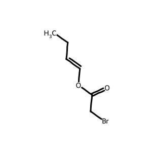 CCC=COC(=O)CBr